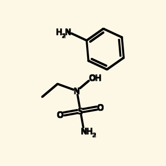 CCN(O)S(N)(=O)=O.Nc1ccccc1